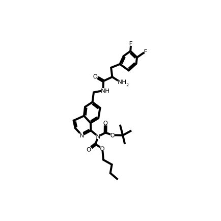 CCCCOC(=O)N(C(=O)OC(C)(C)C)c1nccc2cc(CNC(=O)C(N)Cc3ccc(F)c(F)c3)ccc12